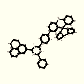 C1=Cc2cc(-c3nc(-c4ccccc4)nc(-c4ccc(-c5ccc6c(c5)C5(c7ccccc7S6)c6ccccc6-c6ccccc65)cc4)n3)cc3cccc(c23)C1